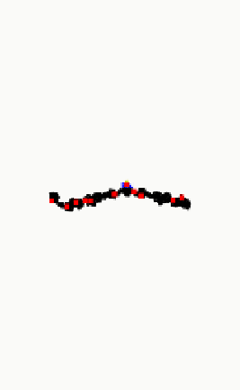 Cc1ccc(CCCc2ccc3c(c2)C(C)(C)c2cc(-c4ccc5c(c4)C(C)(C)c4cc(/C=C/c6ccc(/C=C/c7ccc(/C=C/c8ccc(/C=C/c9ccc%10c(c9)C(C)(C)c9cc(-c%11ccc%12c(c%11)C(C)(C)c%11ccccc%11-%12)ccc9-%10)cc8)c8nsnc78)cc6)ccc4-5)ccc2-3)cc1